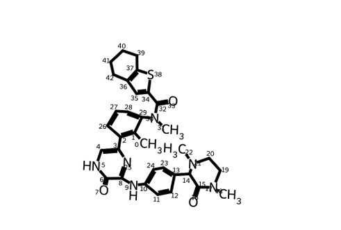 Cc1c(-c2c[nH]c(=O)c(Nc3ccc(C4C(=O)N(C)CCN4C)cc3)n2)cccc1N(C)C(=O)c1cc2c(s1)CCCC2